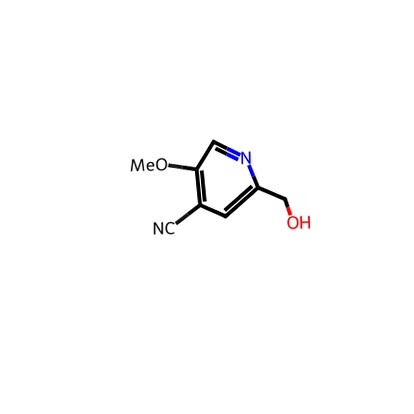 COc1cnc(CO)cc1C#N